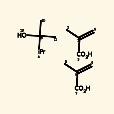 C=C(C)C(=O)O.C=C(C)C(=O)O.CC(C)C(C)(C)O